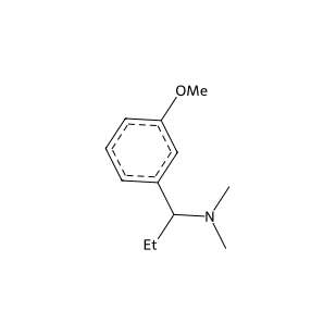 CCC(c1cccc(OC)c1)N(C)C